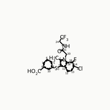 Cc1c(Sc2cccc(C(=O)O)c2)c2ccc(Cl)c(F)c2n1CC(=O)NCC(F)(F)F